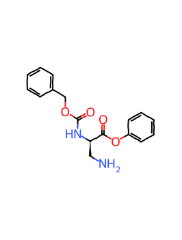 NC[C@@H](NC(=O)OCc1ccccc1)C(=O)Oc1ccccc1